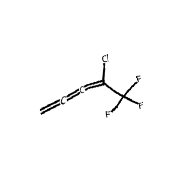 C=C=C=C(Cl)C(F)(F)F